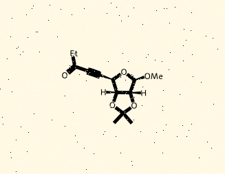 CCC(=O)C#C[C@H]1O[C@@H](OC)[C@@H]2OC(C)(C)O[C@@H]21